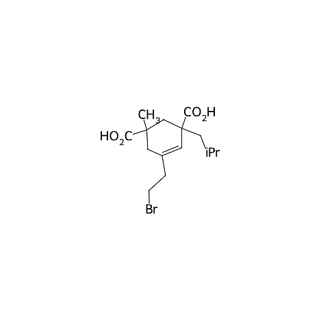 CC(C)CC1(C(=O)O)C=C(CCBr)CC(C)(C(=O)O)C1